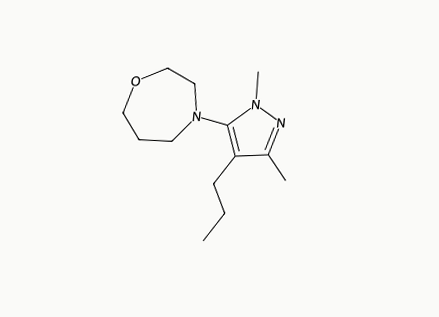 CCCc1c(C)nn(C)c1N1CCCOCC1